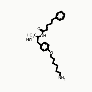 Cl.NCCCCCCOc1ccc(CC(NC(=O)CCCCc2ccccc2)C(=O)O)cc1